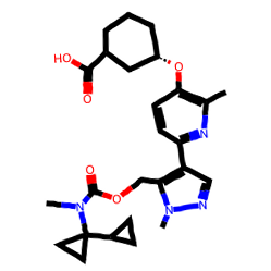 Cc1nc(-c2cnn(C)c2COC(=O)N(C)C2(C3CC3)CC2)ccc1O[C@H]1CCCC(C(=O)O)C1